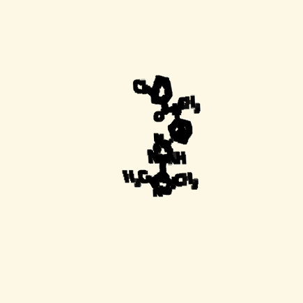 Cc1ncn(C)c1-c1nnc([C@]23CCC[C@@](N(C)C(=O)c4cccc(Cl)c4)(C2)C3)[nH]1